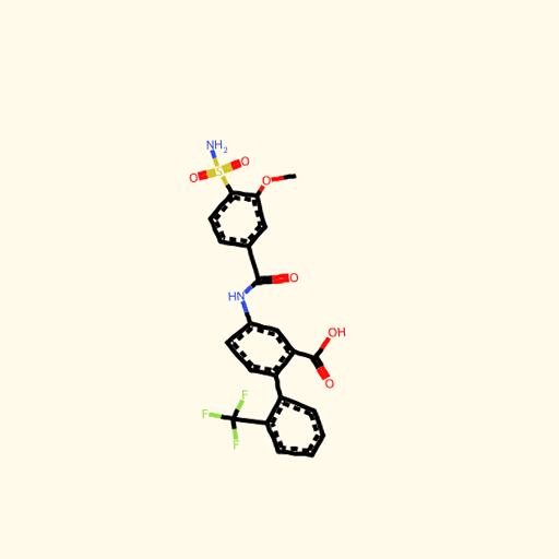 COc1cc(C(=O)Nc2ccc(-c3ccccc3C(F)(F)F)c(C(=O)O)c2)ccc1S(N)(=O)=O